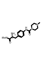 CNC(=O)[C@@H](N)Cc1ccc(NC(=O)N2CCN(C)CC2)cc1